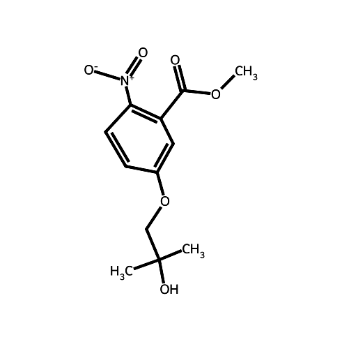 COC(=O)c1cc(OCC(C)(C)O)ccc1[N+](=O)[O-]